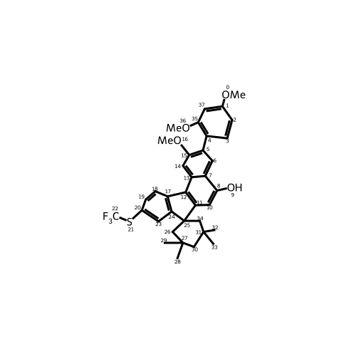 COc1ccc(-c2cc3c(O)cc4c(c3cc2OC)-c2ccc(SC(F)(F)F)cc2C42CC(C)(C)CC(C)(C)C2)c(OC)c1